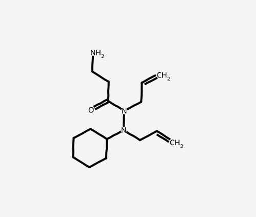 C=CCN(C(=O)CCN)N(CC=C)C1CCCCC1